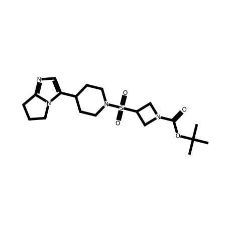 CC(C)(C)OC(=O)N1CC(S(=O)(=O)N2CCC(c3cnc4n3CCC4)CC2)C1